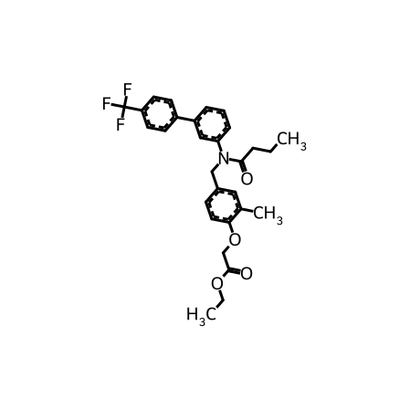 CCCC(=O)N(Cc1ccc(OCC(=O)OCC)c(C)c1)c1cccc(-c2ccc(C(F)(F)F)cc2)c1